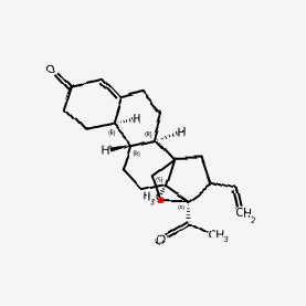 C=CC1CC23CC[C@@]1(C(C)=O)[C@@]2(C)CC[C@H]1[C@H]3CCC2=CC(=O)CC[C@@H]21